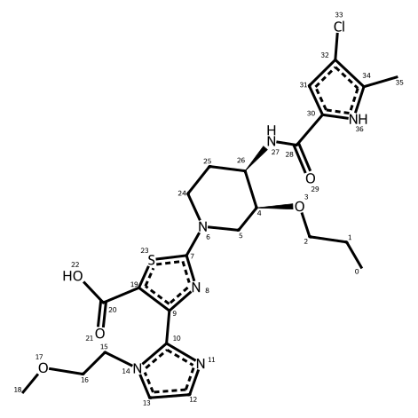 CCCO[C@H]1CN(c2nc(-c3nccn3CCOC)c(C(=O)O)s2)CC[C@H]1NC(=O)c1cc(Cl)c(C)[nH]1